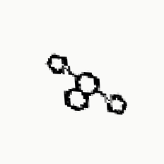 c1ccc2c(-n3cccc3)ccc(-n3cccc3)c2c1